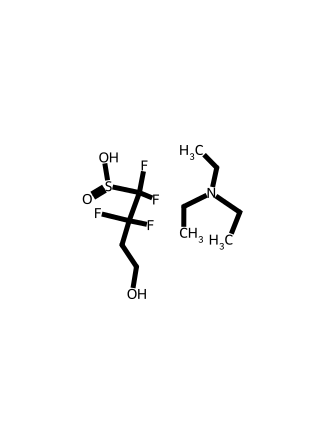 CCN(CC)CC.O=S(O)C(F)(F)C(F)(F)CCO